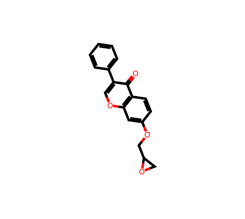 O=c1c(-c2ccccc2)coc2cc(OCC3CO3)ccc12